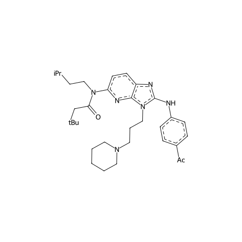 CC(=O)c1ccc(Nc2nc3ccc(N(CCC(C)C)C(=O)CC(C)(C)C)nc3n2CCCN2CCCCC2)cc1